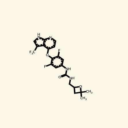 CC1(C)CC(CNC(=O)Nc2cc(F)c(Oc3ccnc4[nH]cc(C(F)(F)F)c34)c(F)c2)O1